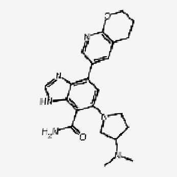 CN(C)C1CCN(c2cc(-c3cnc4c(c3)CCCO4)c3nc[nH]c3c2C(N)=O)C1